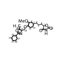 COc1cc(CCCC2OC(=O)NC2=O)ccc1OCc1nc(-c2ccccc2)oc1C